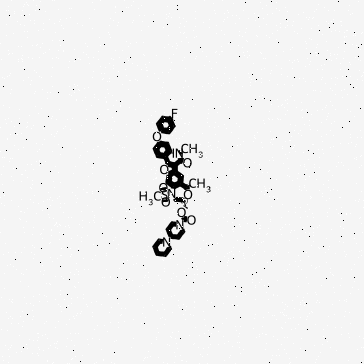 CNC(=O)c1c(-c2ccc(Oc3ccc(F)cc3)cc2)oc2cc3c(cc12)[C@H](C)O[C@H](COC(=O)N1CCC(N2CCCCC2)CC1)CN3S(C)(=O)=O